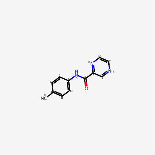 N#Cc1ccc(NC(=O)c2cnccn2)cc1